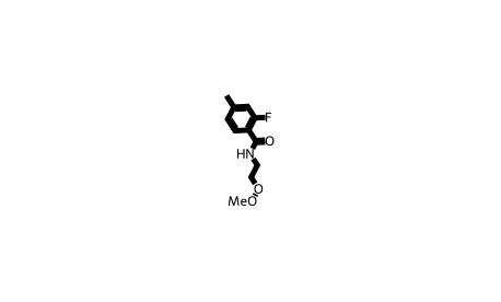 COOCCNC(=O)c1ccc(C)cc1F